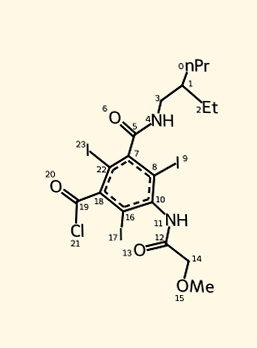 CCCC(CC)CNC(=O)c1c(I)c(NC(=O)COC)c(I)c(C(=O)Cl)c1I